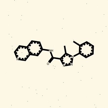 Cc1ccccc1-n1nnc(C(=O)Nc2ccc3ccncc3c2)c1C